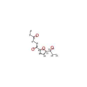 CCC(=O)CCC(=O)c1ccc(C(=O)CC)o1